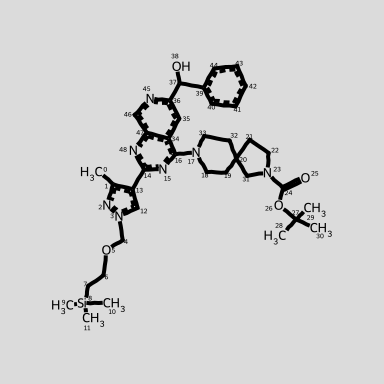 Cc1nn(COCC[Si](C)(C)C)cc1-c1nc(N2CCC3(CCN(C(=O)OC(C)(C)C)C3)CC2)c2cc(C(O)c3ccccc3)ncc2n1